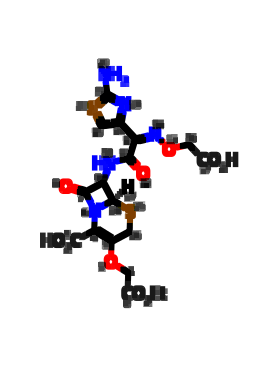 CCOC(=O)COC1=C(C(=O)O)N2C(=O)[C@@H](NC(=O)/C(=N\OCC(=O)O)c3csc(N)n3)[C@H]2SC1